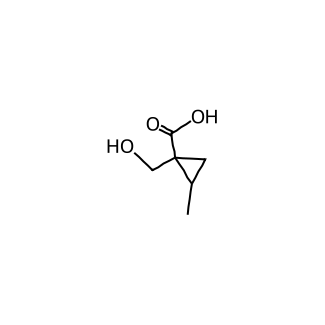 CC1CC1(CO)C(=O)O